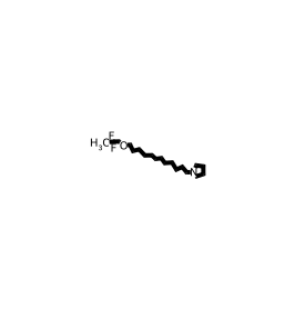 CC(F)(F)COCCCCCCCCCCCCN1CCCC1